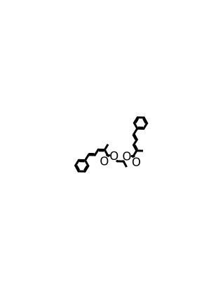 CC(=CC=Cc1ccccc1)C(=O)OCC(C)OC(=O)C(C)=CC=Cc1ccccc1